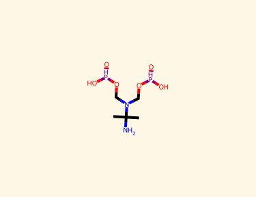 CC(C)(N)N(CO[PH](=O)O)CO[PH](=O)O